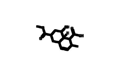 COC(=O)C1CC(O)[C@H]2C(C=CC(C)C2C(=O)O)C1